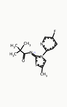 Cc1cn(-c2ccc(F)cn2)/c(=N/C(=O)C(C)(C)C)s1